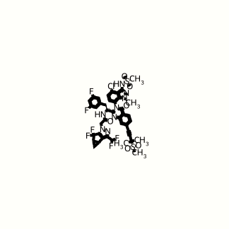 Cn1nc(NS(C)(=O)=O)c2c(Cl)ccc(-n3c([C@H](Cc4cc(F)cc(F)c4)NC(=O)Cn4nc(C(F)F)c5c4C(F)(F)C4CC54)nc4cc(C#CC(C)(C)S(C)(=O)=O)ccc4c3=O)c21